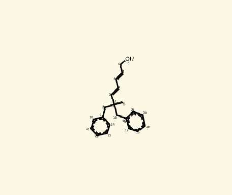 CC(/C=C/C=C/CO)(Cc1ccccc1)Cc1ccccc1